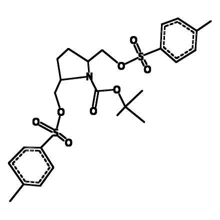 Cc1ccc(S(=O)(=O)OCC2CCC(COS(=O)(=O)c3ccc(C)cc3)N2C(=O)OC(C)(C)C)cc1